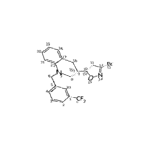 FC(F)(F)c1cccc(CN2C[C@@H]([C@@H]3CC(Br)=NO3)Cc3ccccc32)c1